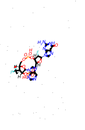 Nc1nc2c(ncn2[C@@H]2O[C@@H]3COP(=O)(O)O[C@H]4[C@H](n5cnc6cncnc65)O[C@H](COP(=O)(O)O[C@H]3[C@H]2F)[C@@]42CC2(F)F)c(=O)[nH]1